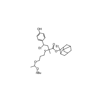 CCCCOC(C)OCCCSC(C)(CC(CC)c1ccc(O)cc1)C(=O)OC1(CC)C2CC3CC(C2)CC1C3